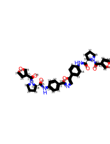 O=C(Nc1ccc(-c2cnc(-c3ccc(NC(=O)[C@@H]4CCCN4C(=O)c4ccoc4)cc3)o2)cc1)[C@@H]1CCCN1C(=O)c1ccoc1